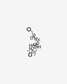 CCCC[C@H](NC(=O)O[C@@H]1CN(C(=O)OCCc2ccccc2)CC1(C)C)C(=O)C(=O)N[C@H](C)c1ccccc1